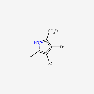 CCOC(=O)c1[nH]c(C)c(C(C)=O)c1CC